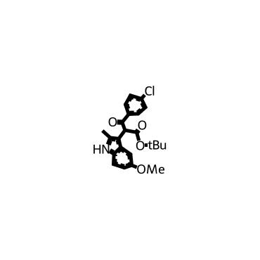 COc1ccc2[nH]c(C)c(C(C(=O)OC(C)(C)C)C(=O)c3ccc(Cl)cc3)c2c1